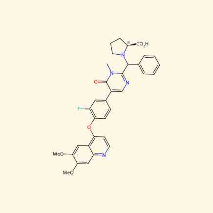 COc1cc2nccc(Oc3ccc(-c4cnc(C(c5ccccc5)N5CCC[C@H]5C(=O)O)n(C)c4=O)cc3F)c2cc1OC